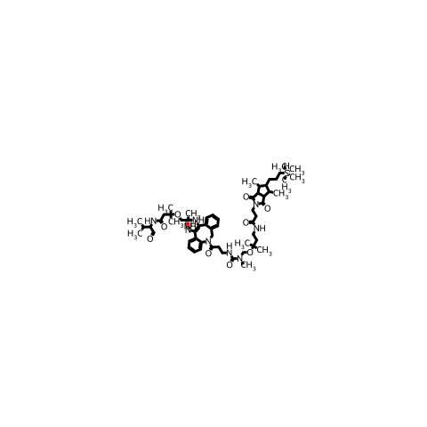 CC(C)C(C=O)NC(=O)CC(C)(C)OCC(C)(C)N/C1=C(\N=N)c2ccccc2N(C(=O)CCNC(=O)N(C)COC(C)(C)CCNC(=O)CCN2C(=O)C3C(C)C(CCC[SH](C)(C)(C)C)C(C)C3C2=O)Cc2ccccc21